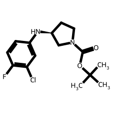 CC(C)(C)OC(=O)N1CC[C@H](Nc2ccc(F)c(Cl)c2)C1